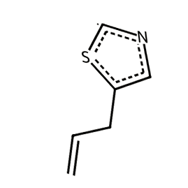 C=CCc1cn[c]s1